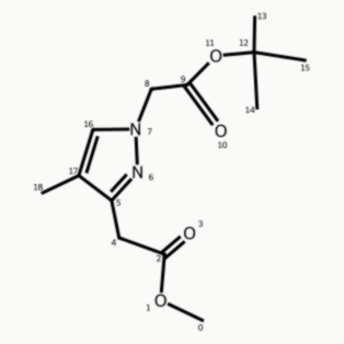 COC(=O)Cc1nn(CC(=O)OC(C)(C)C)cc1C